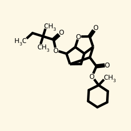 CCC(C)(C)C(=O)OC1C2CC3C1OC(=O)C3C2C(=O)OC1(C)CCCCC1